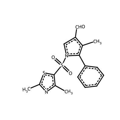 Cc1nc(C)c(S(=O)(=O)n2cc(C=O)c(C)c2-c2ccccc2)s1